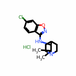 CC1(C)C(Nc2noc3cc(Cl)ccc23)C2CCN1CC2.Cl